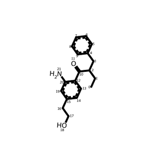 CCC(Cc1ccccc1)C(=O)c1ccc(CCO)cc1N